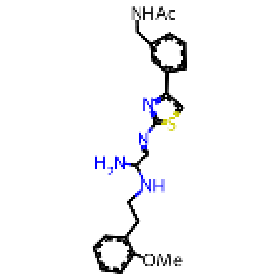 COc1ccccc1CCNC(N)C=Nc1nc(-c2cccc(CNC(C)=O)c2)cs1